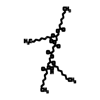 CCCCCCCC(=O)OCC(COC(=O)CCC(=O)OCC(COC(=O)CCCCCCC)O[C@@H](O)CCCCCCC)OC(=O)CCCCCCC